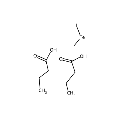 CCCC(=O)O.CCCC(=O)O.I[Te]I